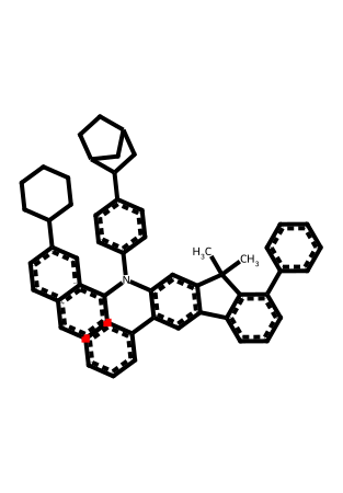 CC1(C)c2cc(N(c3ccc(C4CC5CCC4C5)cc3)c3cccc4ccc(C5CCCCC5)cc34)c(-c3ccccc3)cc2-c2cccc(-c3ccccc3)c21